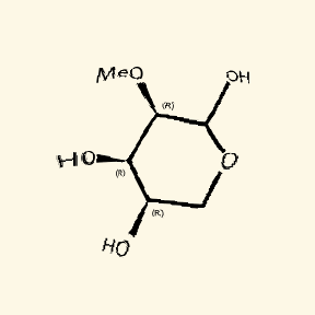 CO[C@H]1C(O)OC[C@@H](O)[C@H]1O